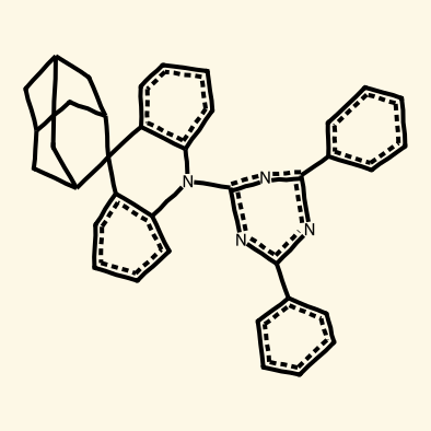 c1ccc(-c2nc(-c3ccccc3)nc(N3c4ccccc4C4(c5ccccc53)C3CC5CC(C3)CC4C5)n2)cc1